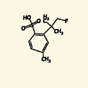 Cc1ccc(S(=O)(=O)O)c(C(C)(C)CF)c1